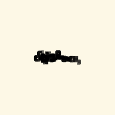 CCCOCCC(=O)N1CCn2c(nc3c(Cl)c(Cl)cnc32)C1